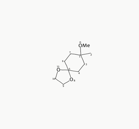 COC1(C)CCC2(CC1)OCCO2